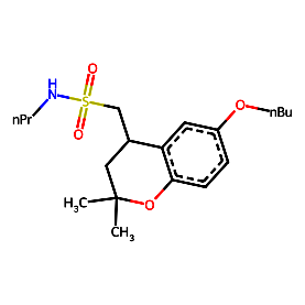 [CH2]CCNS(=O)(=O)CC1CC(C)(C)Oc2ccc(OCCCC)cc21